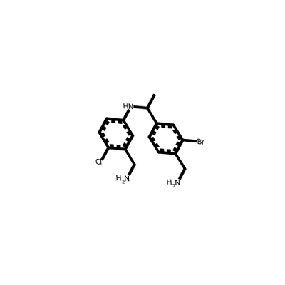 CC(Nc1ccc(Cl)c(CN)c1)c1ccc(CN)c(Br)c1